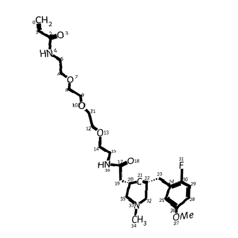 C=CC(=O)NCCOCCOCCOCCNC(=O)C[C@@H]1C[C@H](Cc2cc(OC)ccc2F)CN(C)C1